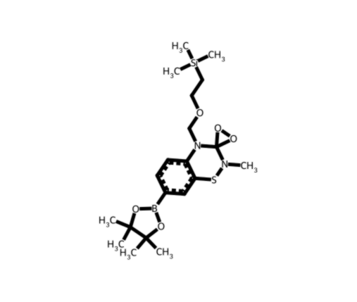 CN1Sc2cc(B3OC(C)(C)C(C)(C)O3)ccc2N(COCC[Si](C)(C)C)C12OO2